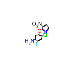 Nc1cc(Oc2ncccc2[N+](=O)[O-])c(Cl)cc1F